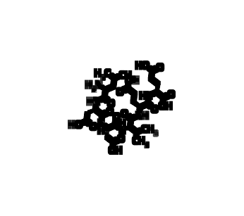 CC(C)C[C@H](N)C(=O)N[C@@H](CC(=O)O)C(=O)N[C@@H](CC(=O)O)C(=O)N[C@H](C(=O)N[C@@H](CCC(=O)O)C(=O)N[C@@H](CCC(=O)O)C(=O)O)C(C)C